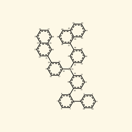 c1ccc(-c2ccccc2-c2cccc(N(c3cccc(-c4ccc5ccccc5c4)c3)c3cccc(-c4cccc5ccccc45)c3)c2)cc1